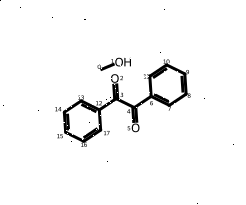 CO.O=C(C(=O)c1ccccc1)c1ccccc1